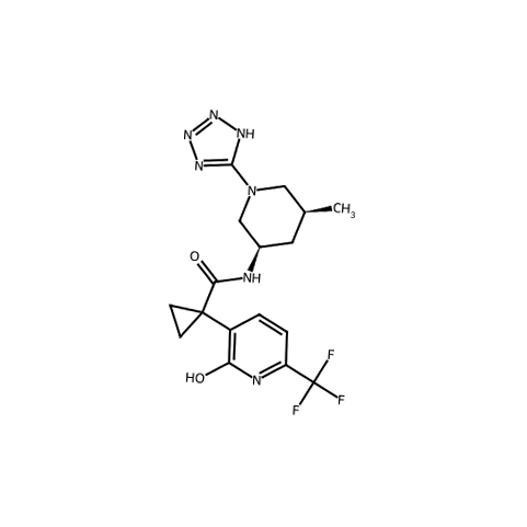 C[C@H]1C[C@@H](NC(=O)C2(c3ccc(C(F)(F)F)nc3O)CC2)CN(c2nnn[nH]2)C1